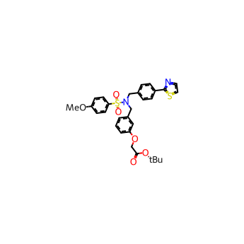 COc1ccc(S(=O)(=O)N(Cc2ccc(-c3nccs3)cc2)Cc2cccc(OCC(=O)OC(C)(C)C)c2)cc1